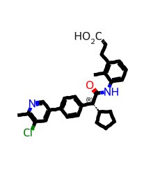 Cc1ncc(-c2ccc([C@H](C(=O)Nc3cccc(CCC(=O)O)c3C)C3CCCC3)cc2)cc1Cl